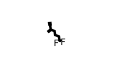 C#CC(=C)CCCC(F)F